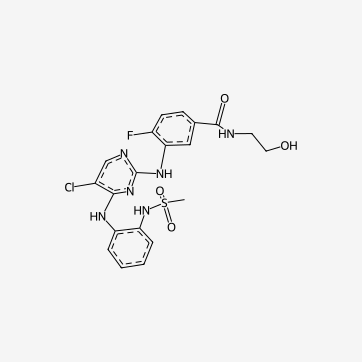 CS(=O)(=O)Nc1ccccc1Nc1nc(Nc2cc(C(=O)NCCO)ccc2F)ncc1Cl